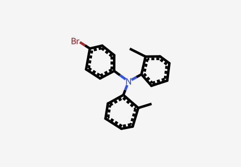 Cc1ccccc1N(c1ccc(Br)cc1)c1ccccc1C